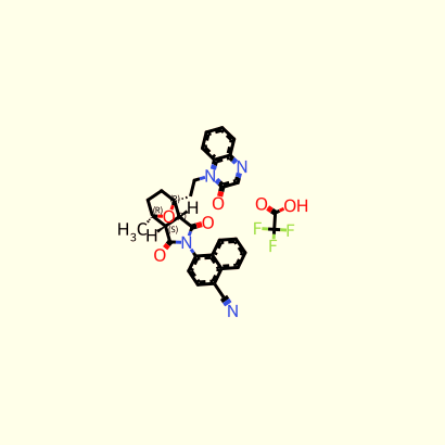 C[C@]12CC[C@](CCn3c(=O)cnc4ccccc43)(O1)[C@@H]1C(=O)N(c3ccc(C#N)c4ccccc34)C(=O)[C@@H]12.O=C(O)C(F)(F)F